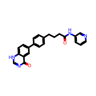 O=C(CCCc1ccc(-c2ccc3[nH]cnc(=O)c3c2)cc1)Nc1cccnc1